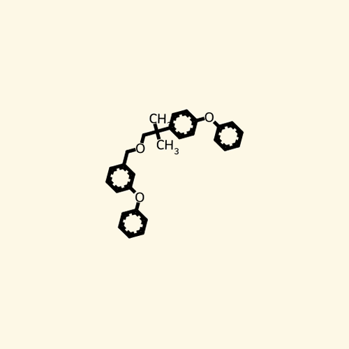 CC(C)(COCc1cccc(Oc2ccccc2)c1)c1ccc(Oc2ccccc2)cc1